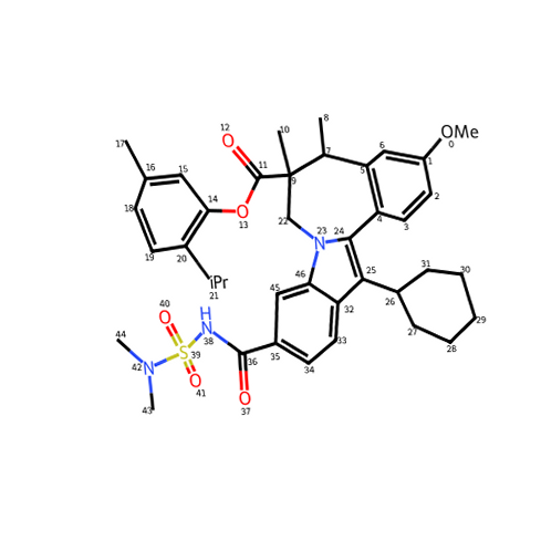 COc1ccc2c(c1)C(C)C(C)(C(=O)Oc1cc(C)ccc1C(C)C)Cn1c-2c(C2CCCCC2)c2ccc(C(=O)NS(=O)(=O)N(C)C)cc21